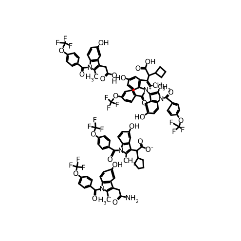 CC1=C(C(C(=O)O)C2CCC2)c2cc(O)ccc2[N+]1(C(=O)c1ccc(OC(F)(F)F)cc1)c1c(C)n(C(=O)c2ccc(OC(F)(F)F)cc2)c2ccc(O)cc12.Cc1c(C(C(=O)[O-])C2CCCC2)c2cc(O)ccc2n1C(=O)c1ccc(OC(F)(F)F)cc1.Cc1c(CC(=O)O)c2cc(O)ccc2n1C(=O)c1ccc(OC(F)(F)F)cc1.Cc1c(CC(N)=O)c2cc(O)ccc2n1C(=O)c1ccc(OC(F)(F)F)cc1